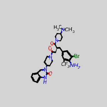 CN(C)C1CCN(C(=O)[C@H](CC(=O)N2CCC(N3Cc4ccccc4NC3=O)CC2)Cc2cc(Br)c(N)c(C(F)(F)F)c2)CC1